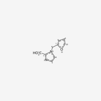 O=C(O)c1nccn1Cc1ccco1